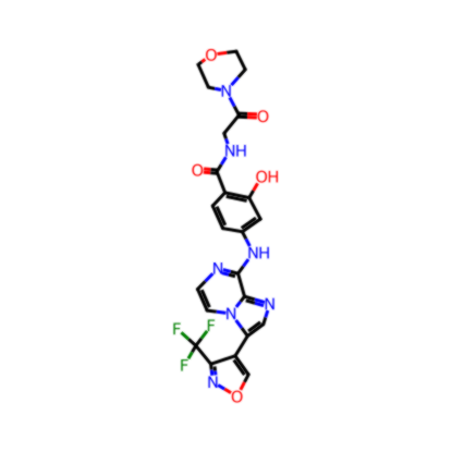 O=C(NCC(=O)N1CCOCC1)c1ccc(Nc2nccn3c(-c4conc4C(F)(F)F)cnc23)cc1O